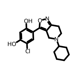 Oc1cc(O)c(-c2onc3c2CN(C2CCCCC2)CC3)cc1Cl